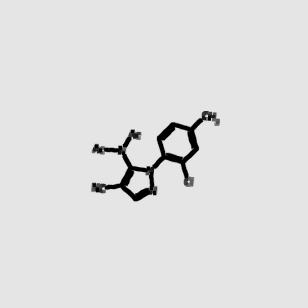 CC(=O)N(C(C)=O)c1c(C#N)cnn1-c1ccc(C)cc1Cl